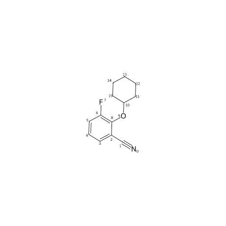 N#Cc1cccc(F)c1OC1CCCCC1